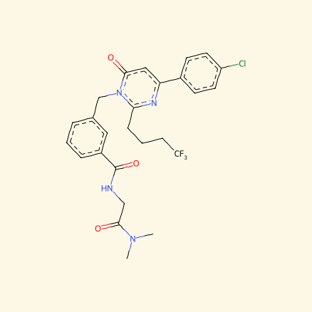 CN(C)C(=O)CNC(=O)c1cccc(Cn2c(CCCC(F)(F)F)nc(-c3ccc(Cl)cc3)cc2=O)c1